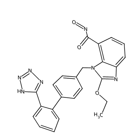 CCOc1nc2cccc(C(=O)N=O)c2n1Cc1ccc(-c2ccccc2-c2nnn[nH]2)cc1